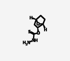 NNC(=S)O[C@H]1C[C@@H]2CC[C@H]1O2